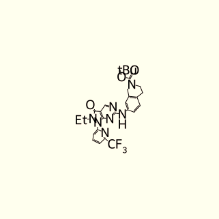 CCn1c(=O)c2cnc(Nc3ccc4c(c3)CN(C(=O)OC(C)(C)C)CC4)nc2n1-c1cccc(C(F)(F)F)n1